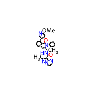 COc1ccc(-c2cccc3cc([C@H](C)NC(=O)c4c(C)nn5cccnc45)n(-c4ccccc4)c(=O)c23)cn1